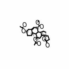 COC(=O)[C@@H]1C=C2C[C@@H](OC(C)=O)CC[C@]2(C)C2C1C1CC[C@@]3(CCC(=O)O3)[C@@]1(C)C[C@H]2OC(C)=O